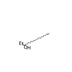 C/C=C/CCCCCCCCCCCCCCCC/C(O)=C\CC